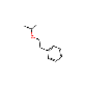 CC(C)O[CH]Cc1ccccc1